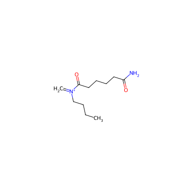 C=[N+](CCCC)C(=O)CCCCC(N)=O